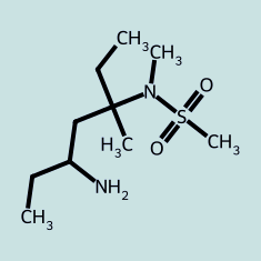 CCC(N)CC(C)(CC)N(C)S(C)(=O)=O